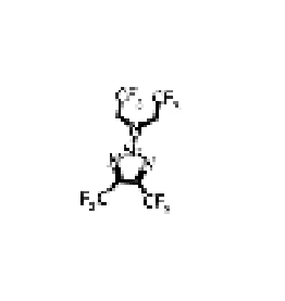 FC(F)(F)C[N](CC(F)(F)F)[Sb]1[N]=C(C(F)(F)F)C(C(F)(F)F)=[N]1